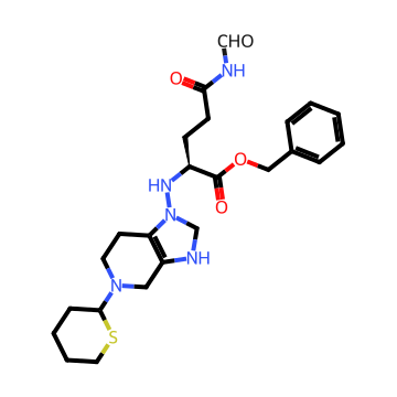 O=CNC(=O)CC[C@H](NN1CNC2=C1CCN(C1CCCCS1)C2)C(=O)OCc1ccccc1